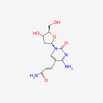 NC(=O)C=Cc1cn([C@H]2CC(O)[C@@H](CO)O2)c(=O)nc1N